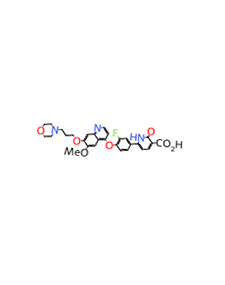 COc1cc2c(Oc3ccc(-c4ccc(C(=O)O)c(=O)[nH]4)cc3F)ccnc2cc1OCCCN1CCOCC1